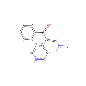 CN(C)/C=C(/C(=O)c1ccccc1)c1ccncc1